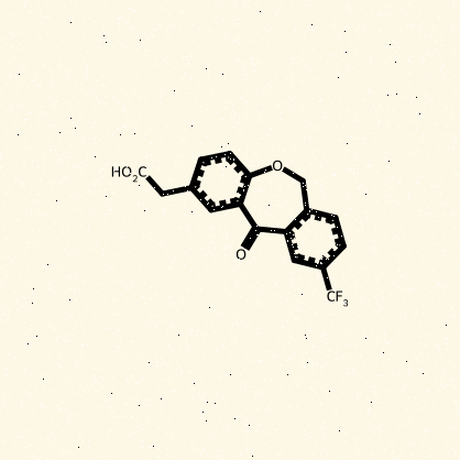 O=C(O)Cc1ccc2c(c1)C(=O)c1cc(C(F)(F)F)ccc1CO2